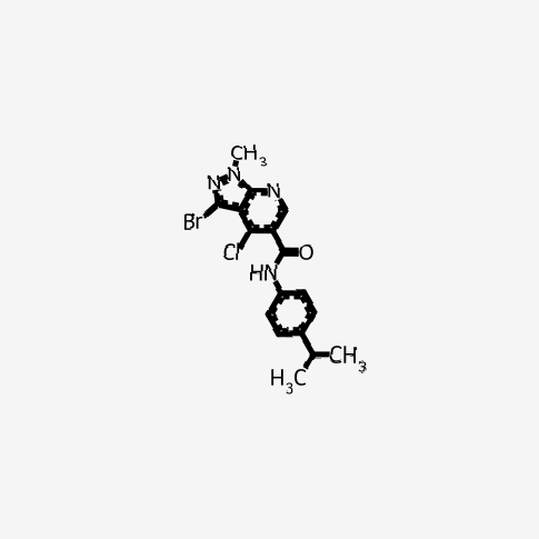 CC(C)c1ccc(NC(=O)c2cnc3c(c(Br)nn3C)c2Cl)cc1